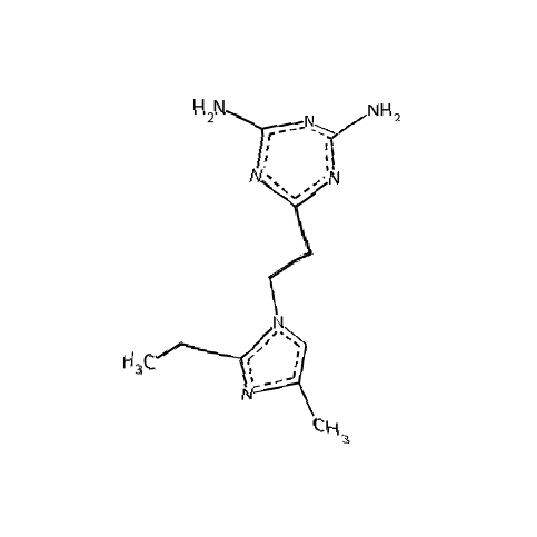 CCc1nc(C)cn1CCc1nc(N)nc(N)n1